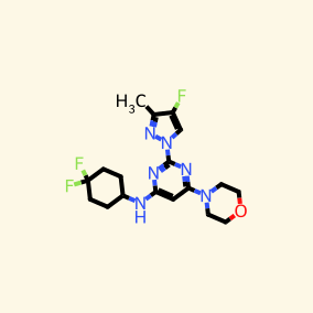 Cc1nn(-c2nc(NC3CCC(F)(F)CC3)cc(N3CCOCC3)n2)cc1F